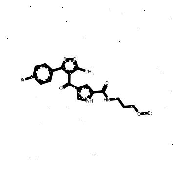 CCOCCCNC(=O)c1cc(C(=O)c2c(-c3ccc(Br)cc3)noc2C)c[nH]1